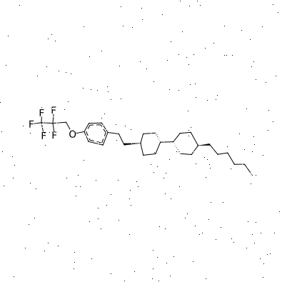 CCCCCC[C@H]1CC[C@H]([C@H]2CC[C@H](CCc3ccc(OCC(F)(F)C(F)(F)F)cc3)CC2)CC1